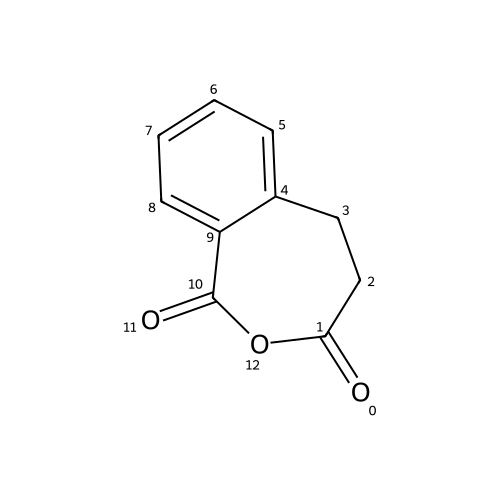 O=C1CCc2ccccc2C(=O)O1